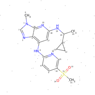 Cn1cnc2c(Nc3ccc(S(C)(=O)=O)cn3)cc(NC(C3CC3)C(F)(F)F)nc21